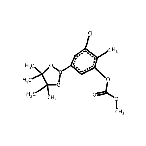 COC(=O)Oc1cc(B2OC(C)(C)C(C)(C)O2)cc(Cl)c1C